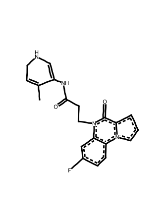 CC1=CCNC=C1NC(=O)CCn1c(=O)c2cccn2c2ccc(F)cc21